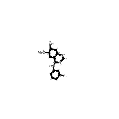 COc1cc2c(Nc3cccc(F)c3)ncnc2cc1O